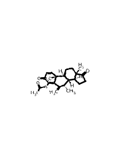 C=C1C2=C(SC(C)=O)C(=O)C=C[C@]2(C)[C@H]2CC[C@]3(C)C(=O)CC[C@H]3[C@@H]2[C@@H]1C